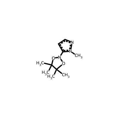 Cn1nccc1N1OC(C)(C)C(C)(C)O1